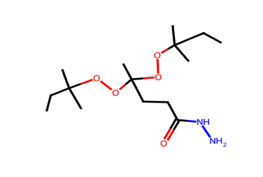 CCC(C)(C)OOC(C)(CCC(=O)NN)OOC(C)(C)CC